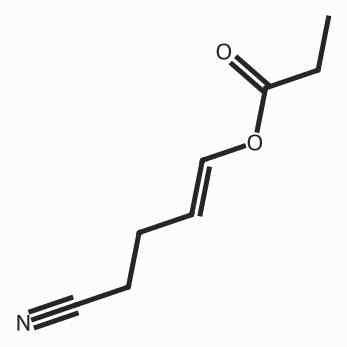 CCC(=O)OC=CCCC#N